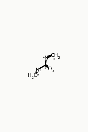 C=NC(=O)N=C